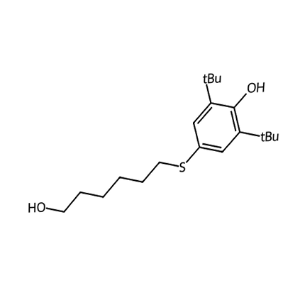 CC(C)(C)c1cc(SCCCCCCO)cc(C(C)(C)C)c1O